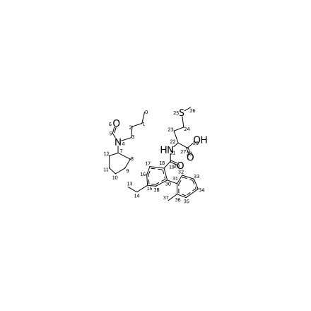 CCCCN(C=O)C1CCCCC1.CCc1ccc(C(=O)NC(CCSC)C(=O)O)c(-c2ccccc2C)c1